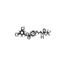 CC(C)(C)OC(=O)NCCCN1CCN(C(=O)OCc2cc(Cl)cc(Cl)c2)CC1